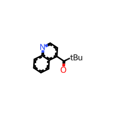 CC(C)(C)C(=O)c1ccnc2ccccc12